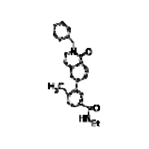 CCNC(=O)c1ccc(C)c(-c2ccc3c(=O)n(Cc4ccccc4)ccc3c2)c1